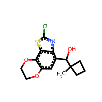 OC(c1cc2c(c3sc(Cl)nc13)OCCO2)C1(C(F)(F)F)CCC1